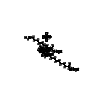 CCCCCCCC.CCCCCCCC.CCCCCCCC.CCCCCCCC.CCCCCCCC(C)CCCCCCCC[NH3+].CCCCCCCC(C)CCCCCCCC[NH3+].[O]=[W](=[O])([O-])[O-]